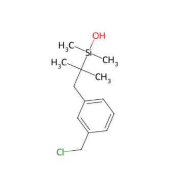 CC(C)(Cc1cccc(CCl)c1)[Si](C)(C)O